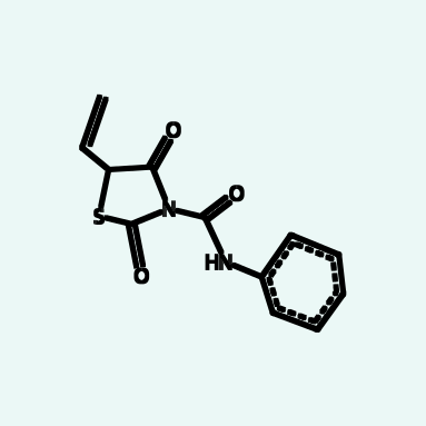 C=CC1SC(=O)N(C(=O)Nc2ccccc2)C1=O